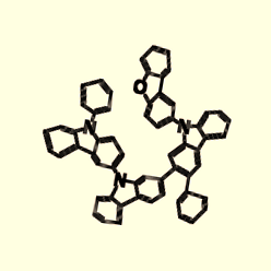 c1ccc(-c2cc3c4ccccc4n(-c4ccc5oc6ccccc6c5c4)c3cc2-c2ccc3c4ccccc4n(-c4ccc5c(c4)c4ccccc4n5-c4ccccc4)c3c2)cc1